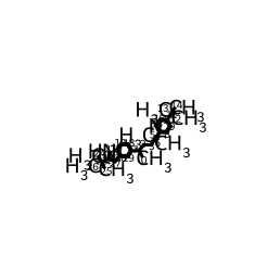 CC(CCC(C)(C)c1ccc(C(C)(C)C)cn1)c1ccc2[nH]c(C(C)(C)C)cc2c1